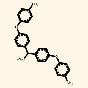 CCCCCCCCCC(c1ccc(Oc2ccc(N)cc2)cc1)c1ccc(Oc2ccc(N)cc2)cc1